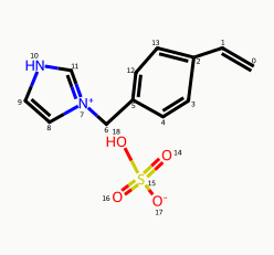 C=Cc1ccc(C[n+]2cc[nH]c2)cc1.O=S(=O)([O-])O